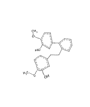 COc1ccc(CCc2ccccc2-c2ccc(OC)c(O)c2)cc1O